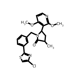 COc1ccnc(OC)c1C1CC(C)C(=O)N1Cc1cccc(-c2nc(Cl)cs2)c1